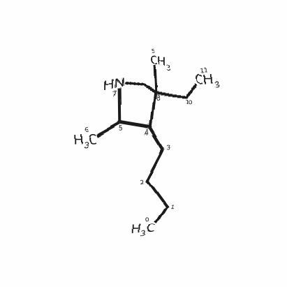 CCCCC1C(C)NC1(C)CC